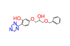 Oc1cc(OCC(O)COCc2ccccc2)ccc1-c1ncncn1